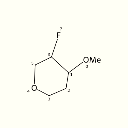 COC1CCOCC1F